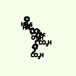 CC(=O)N1CCc2cc(NC(=S)Nc3ccccc3)ccc2C1C(=O)NC(Cc1ccc(CCC(=O)O)cc1)C(=O)O